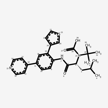 CC(C)C[C@H](C(=O)Nc1ccc(-c2ccncc2)cc1-c1ccsc1)N(C(=O)O)C(C)(C)C